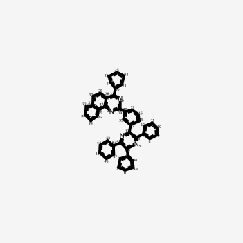 c1ccc(-c2nc(-c3ccccc3)c(-c3cccc(-c4nc(-c5ccccc5)c5ccc6ccccc6c5n4)c3)nc2-c2ccccc2)cc1